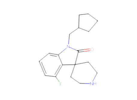 O=C1N(CC2CCCC2)c2cccc(F)c2C12CCNCC2